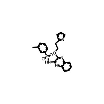 Cc1cccc(S(=O)(=O)Nc2nc3ccccc3nc2OCCc2cccs2)c1